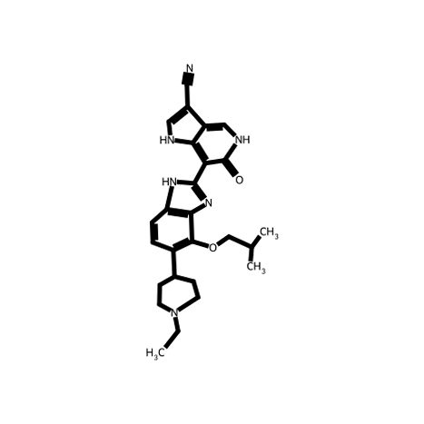 CCN1CCC(c2ccc3[nH]c(-c4c(=O)[nH]cc5c(C#N)c[nH]c45)nc3c2OCC(C)C)CC1